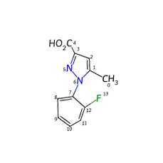 Cc1cc(C(=O)O)nn1-c1ccccc1F